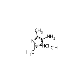 Cc1nn(C)cc1N.Cl.Cl